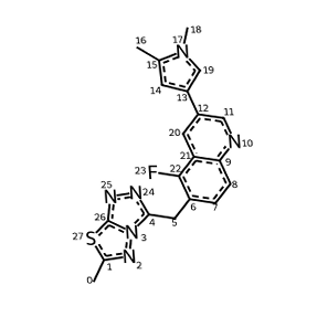 Cc1nn2c(Cc3ccc4ncc(-c5cc(C)n(C)c5)cc4c3F)nnc2s1